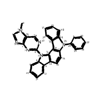 Cn1cnc2nc(-n3c4ccccc4c4ccc5c(c6ccccc6n5-c5ccccc5)c43)ncc21